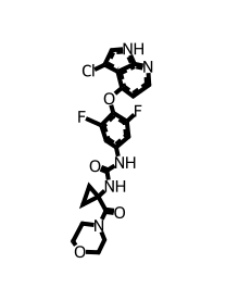 O=C(Nc1cc(F)c(Oc2ccnc3[nH]cc(Cl)c23)c(F)c1)NC1(C(=O)N2CCOCC2)CC1